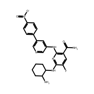 NC(=O)c1cc(F)c(NC2CCCCC2N)nc1Nc1cncc(-c2ccc([N+](=O)[O-])cc2)c1